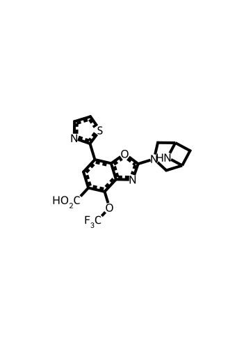 O=C(O)c1cc(-c2nccs2)c2oc(N3CC4CC(C3)N4)nc2c1OC(F)(F)F